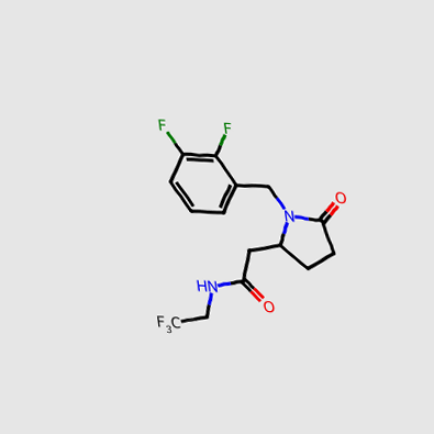 O=C(CC1CCC(=O)N1Cc1cccc(F)c1F)NCC(F)(F)F